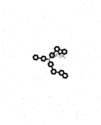 CC1(C)c2ccccc2-c2cccc(-c3ccc(N(c4ccc(-c5ccccc5)cc4)c4ccc(-c5cccc(-c6ccc7ccccc7c6)c5)cc4)cc3)c21